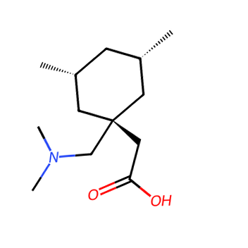 C[C@@H]1C[C@H](C)C[C@](CC(=O)O)(CN(C)C)C1